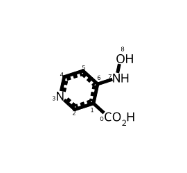 O=C(O)c1cnccc1NO